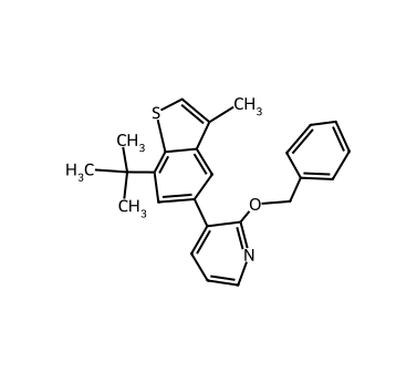 Cc1csc2c(C(C)(C)C)cc(-c3cccnc3OCc3ccccc3)cc12